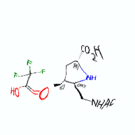 CC(=O)NC[C@@H]1N[C@@H](C(=O)O)C[C@@H]1C.O=C(O)C(F)(F)F